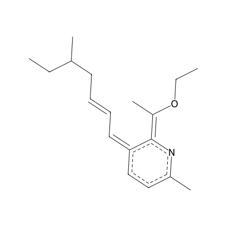 CCO\C(C)=c1/nc(C)cc/c1=C/C=C/CC(C)CC